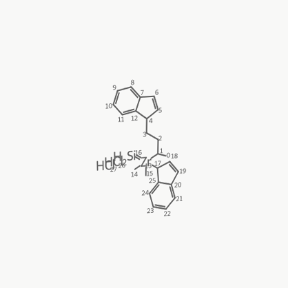 C[CH](CCC1C=Cc2ccccc21)[Zr]([CH3])([CH3])(=[SiH2])[CH]1C=Cc2ccccc21.Cl.Cl